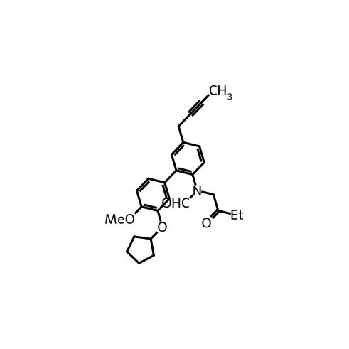 CC#CCc1ccc(N(C=O)CC(=O)CC)c(-c2ccc(OC)c(OC3CCCC3)c2)c1